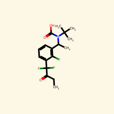 CCC(=O)C(F)(F)c1cccc(C(C)N(C(=O)O)C(C)(C)C)c1F